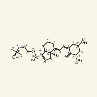 C=C1C(=CC=C2CCC[C@]3(C)C([C@@H](C)OC/C=C\C(C)(C)O)=CC[C@@H]23)C[C@@H](O)C[C@@H]1O